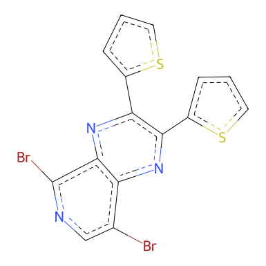 Brc1cnc(Br)c2nc(-c3cccs3)c(-c3cccs3)nc12